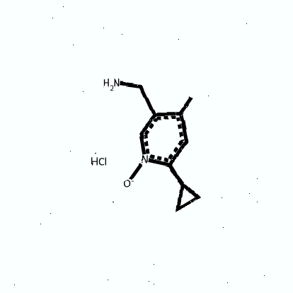 Cc1cc(C2CC2)[n+]([O-])cc1CN.Cl